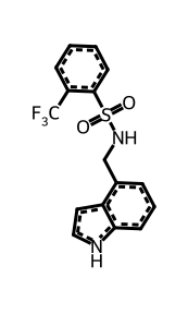 O=S(=O)(NCc1cccc2[nH]ccc12)c1ccccc1C(F)(F)F